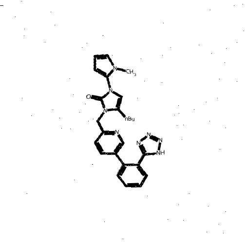 CCCCc1cn(-c2cccn2C)c(=O)n1Cc1ccc(-c2ccccc2-c2nnn[nH]2)cn1